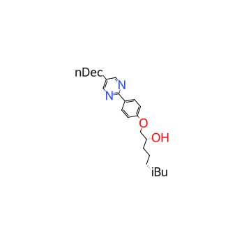 CCCCCCCCCCc1cnc(-c2ccc(OC[C@H](O)CCC[C@@H](C)CC)cc2)nc1